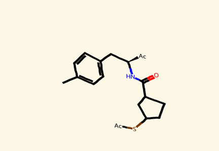 CC(=O)SC1CCC(C(=O)N[C@@H](Cc2ccc(C)cc2)C(C)=O)C1